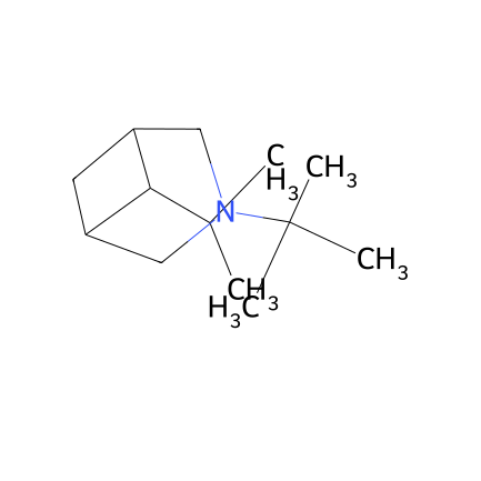 CC(C)C1C2CC1CN(C(C)(C)C)C2